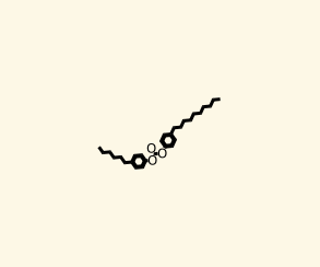 CCCCCCCCCCc1ccc(OC(=O)Oc2ccc(CCCCCC)cc2)cc1